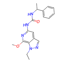 CCn1ncc2cc(NC(=O)NC(C)c3ccccc3)nc(OC)c21